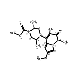 C[C@@H]1CN(c2c(C#N)c(=O)n(C)n3cc(CC#N)nc23)[C@@H](C)CN1C(=O)OC(C)(C)C